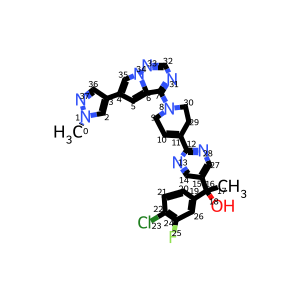 Cn1cc(-c2cc3c(N4CC=C(c5ncc(C(C)(O)c6ccc(Cl)c(F)c6)cn5)CC4)ncnn3c2)cn1